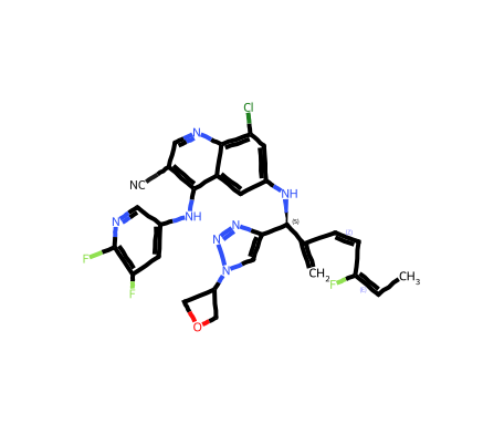 C=C(/C=C\C(F)=C/C)[C@H](Nc1cc(Cl)c2ncc(C#N)c(Nc3cnc(F)c(F)c3)c2c1)c1cn(C2COC2)nn1